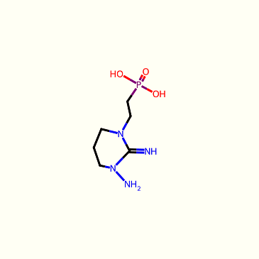 N=C1N(N)CCCN1CCP(=O)(O)O